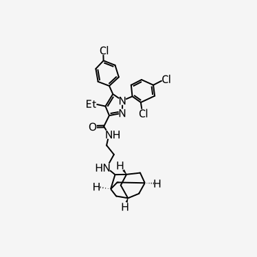 CCc1c(C(=O)NCCNC2[C@H]3C[C@@H]4C[C@@H](C[C@H]2C4)C3)nn(-c2ccc(Cl)cc2Cl)c1-c1ccc(Cl)cc1